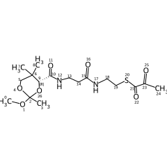 COC1(C)OCC(C)(C)[C@H](C(=O)NCCC(=O)NCCSC(=O)C(C)=O)O1